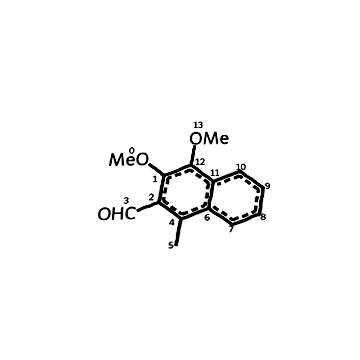 COc1c(C=O)c(C)c2ccccc2c1OC